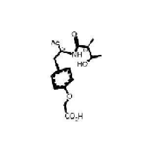 CC(=O)[C@H](Cc1ccc(OCC(=O)O)cc1)NC(=O)[C@@H](C)C(C)O